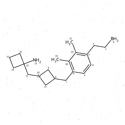 BCCc1ccc(CC2CN(CC3(N)CCC3)C2)c(C)c1C